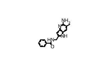 Cc1cc2[nH]c(CNC(=O)c3ccccc3)cc2nc1N